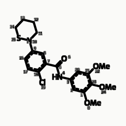 COc1cc(NC(=O)c2cc(N3CCCCS3)ccc2Cl)cc(OC)c1OC